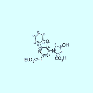 CCOC(=O)Cc1nc(N2C[C@@H](O)C[C@H]2C(=O)O)c2oc3ccccc3c2n1